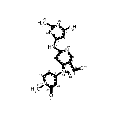 Cc1cc(Nc2cc3c(cn2)c(=O)[nH]n3-c2ccn(C)c(=O)c2)nc(C)n1